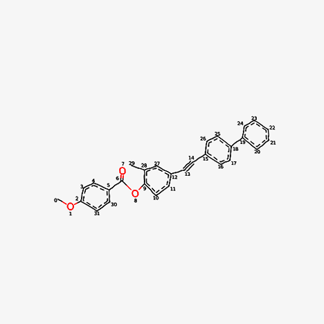 COc1ccc(C(=O)Oc2ccc(C#Cc3ccc(-c4ccccc4)cc3)cc2C)cc1